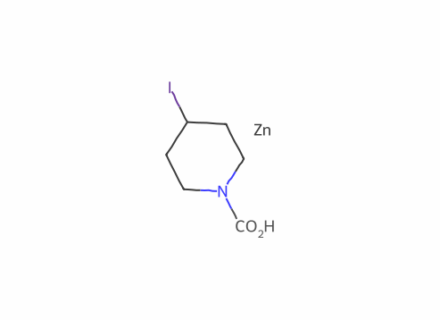 O=C(O)N1CCC(I)CC1.[Zn]